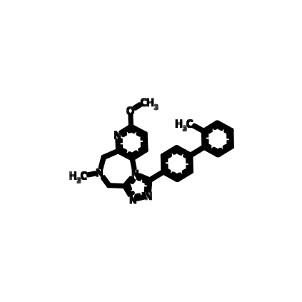 COc1ccc2c(n1)CN(C)Cc1nnc(-c3ccc(-c4ccccc4C)cc3)n1-2